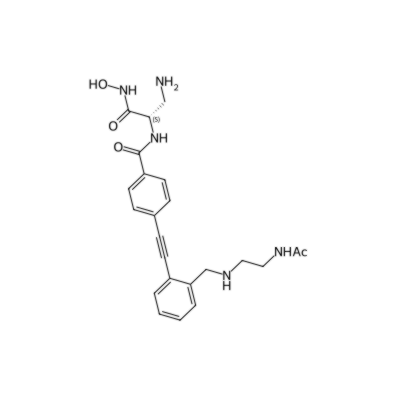 CC(=O)NCCNCc1ccccc1C#Cc1ccc(C(=O)N[C@@H](CN)C(=O)NO)cc1